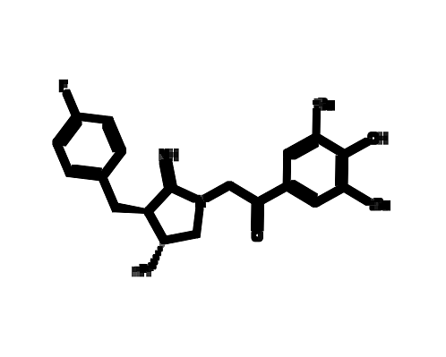 CCC[C@H]1CN(CC(=O)c2cc(C(C)(C)C)c(O)c(C(C)(C)C)c2)C(=N)[C@@H]1Cc1ccc(F)cc1